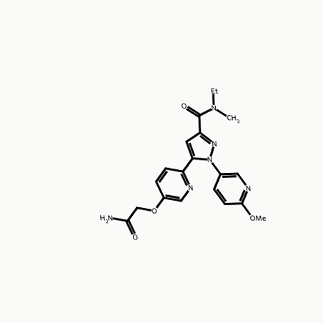 CCN(C)C(=O)c1cc(-c2ccc(OCC(N)=O)cn2)n(-c2ccc(OC)nc2)n1